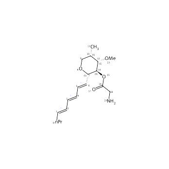 CCC/C=C/C=C/C=C/[C@@H]1OC[C@H](C)[C@H](OC)[C@H]1OC(=O)CN